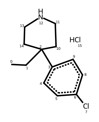 CCC1(c2ccc(Cl)cc2)CCNCC1.Cl